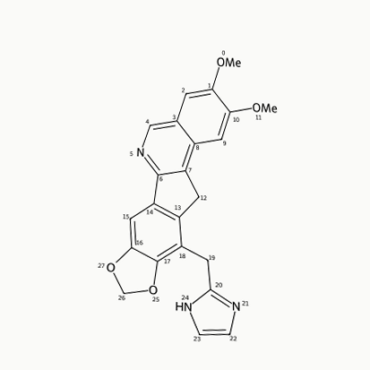 COc1cc2cnc3c(c2cc1OC)Cc1c-3cc2c(c1Cc1ncc[nH]1)OCO2